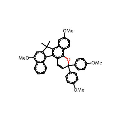 COc1ccc(C2(c3ccc(OC)cc3)C=Cc3c4c(c5cc(OC)ccc5c3O2)C(C)(C)c2cc(OC)c3ccccc3c2-4)cc1